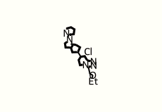 CCOCc1nnc2c(Cl)c(-c3ccc4c(ccn4-c4ccccn4)c3)ccn12